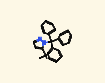 CC(C)(C)c1ccnn1C(c1ccccc1)(c1ccccc1)c1ccccc1